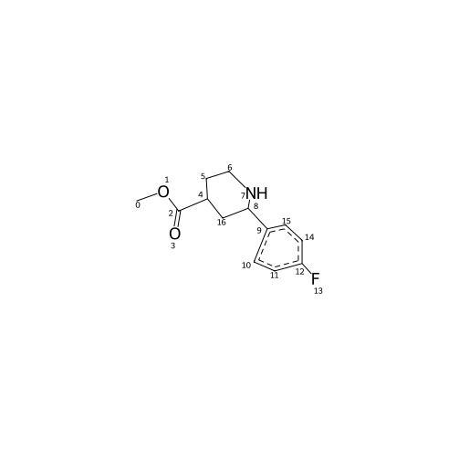 COC(=O)C1CCNC(c2ccc(F)cc2)C1